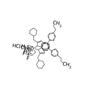 CCCc1ccc(-c2cccc3c2C=C(CC2CCCCC2)[CH]3[Zr]([CH3])(=[SiH2])([CH2]CC(F)(F)F)[CH]2C(CC3CCCCC3)=Cc3c(-c4ccc(CCC)cc4)cccc32)cc1.Cl.Cl